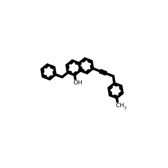 Cc1ccc(CC#Cc2ccc3ccc(Cc4ccccc4)c(O)c3c2)cc1